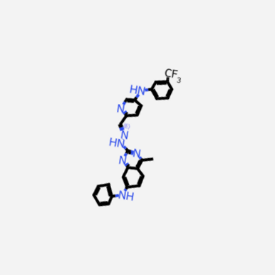 Cc1nc(N/N=C/c2ccc(Nc3cccc(C(F)(F)F)c3)cn2)nc2cc(Nc3ccccc3)ccc12